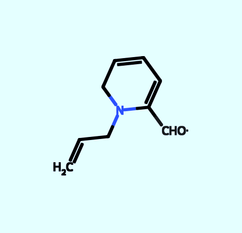 C=CCN1CC=CC=C1[C]=O